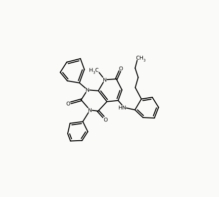 CCCCc1ccccc1Nc1cc(=O)n(C)c2c1c(=O)n(-c1ccccc1)c(=O)n2-c1ccccc1